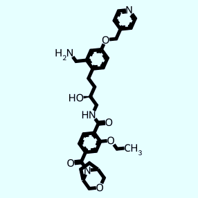 CCOc1cc(C(=O)N2C3CCC2COC3)ccc1C(=O)NC[C@@H](O)CCc1ccc(OCc2ccncc2)cc1CN